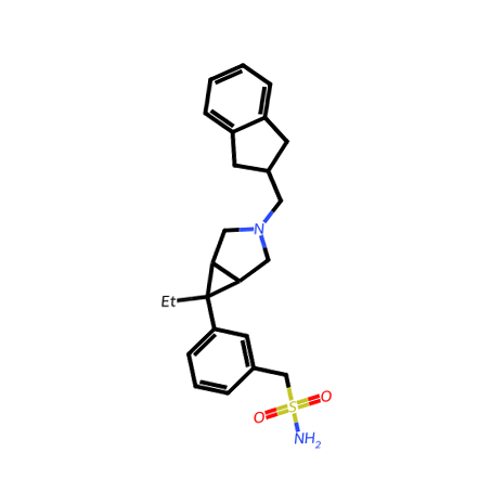 CCC1(c2cccc(CS(N)(=O)=O)c2)C2CN(CC3Cc4ccccc4C3)CC21